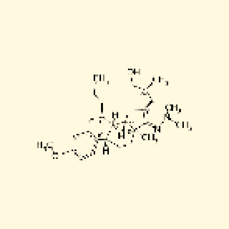 CCC[C@@H]1Cc2cc(OC)ccc2[C@H]2CC[C@]3(C)C(=NN(C)C)[C@H](C[C@H](C)CO)C[C@H]3[C@H]12